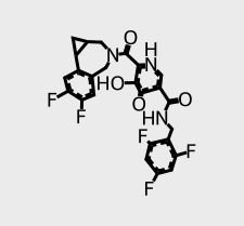 O=C(NCc1c(F)cc(F)cc1F)c1c[nH]c(C(=O)N2Cc3cc(F)c(F)cc3C3CC3C2)c(O)c1=O